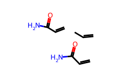 C=CC.C=CC(N)=O.C=CC(N)=O